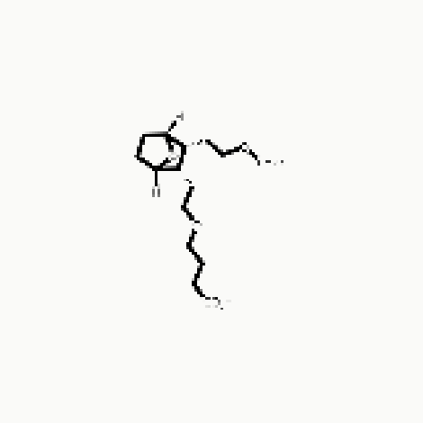 CCCCCCOCC[C@@H]1[C@H](CCOCCCC(=O)O)[C@@H]2CC[C@H]1O2